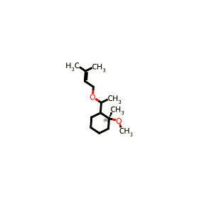 CO[C@]1(C)CCCCC1C(C)OCC=C(C)C